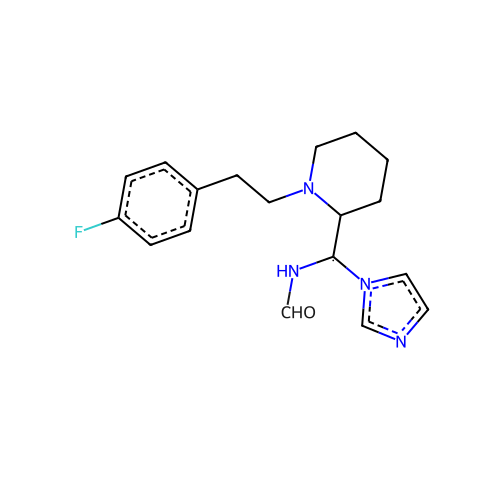 O=CN[C](C1CCCCN1CCc1ccc(F)cc1)n1ccnc1